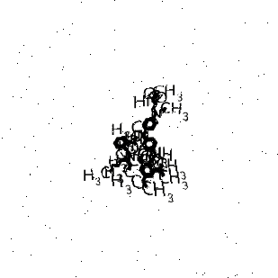 CCCCCC(CC)NS(=O)(=O)c1ccccc1C(=O)Nc1cc(NS(=O)(=O)c2c(C(C)C)cc(C(C)C)cc2C(C)C)ccc1Nc1ccc(N(CC)CCNS(C)(=O)=O)cc1C